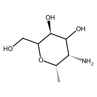 C[C@@H]1OC(CO)[C@@H](O)C(O)[C@@H]1N